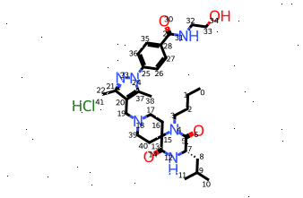 CCCCN1C(=O)[C@H](CC(C)C)NC(=O)C12CCN(Cc1c(C)nn(-c3ccc(C(=O)NCCO)cc3)c1C)CC2.Cl